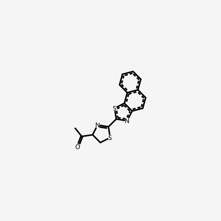 CC(=O)C1CSC(c2nc3ccc4ccccc4c3s2)=N1